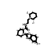 C[C@@H]1CCC[C@H](C)N1CCNC(=O)[C@@H]1CCCCN1c1nc2cc(F)ccc2o1